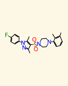 Cc1cccc(N2CCN(S(=O)(=O)c3c(C)nn(-c4ccc(F)cc4)c3C)CC2)c1C